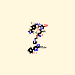 CNc1nn(C2CCN(CCOc3cc(C(C(=O)N4C[C@H](O)C[C@H]4C(=O)NC(C)c4ccc(-c5scnc5C)cc4)C(C)C)on3)C2)c2cc(-c3ccccc3O)nnc12